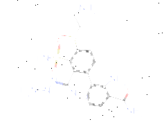 NCC[S+]([O-])c1ccc(-c2cccc(C(N)=O)c2N)c(/C(N)=N/NN)c1S(N)(=O)=O